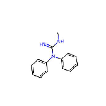 CNC(=N)N(c1ccccc1)c1ccccc1